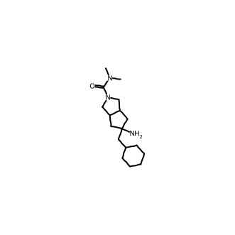 CN(C)C(=O)N1CC2CC(N)(CC3CCCCC3)CC2C1